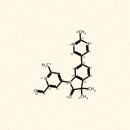 Cc1cc(N2C(=O)C(C)(C)c3ccc(-c4cnc(C)nc4)cc32)cc(C=O)n1